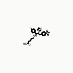 CS(=O)(=O)c1ccc(CC(C(=NOCCCCC(=O)O)c2ccc(F)cc2)n2ccnc2)cc1